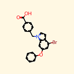 O=C(O)c1ccc(Cn2ccc3c(Br)cc(Oc4ccccc4)cc32)cc1